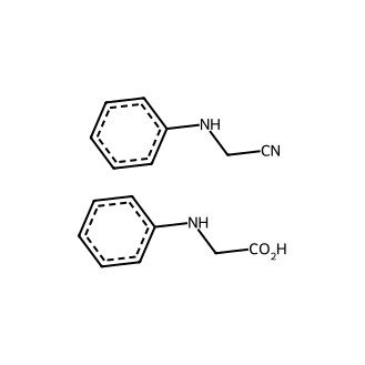 N#CCNc1ccccc1.O=C(O)CNc1ccccc1